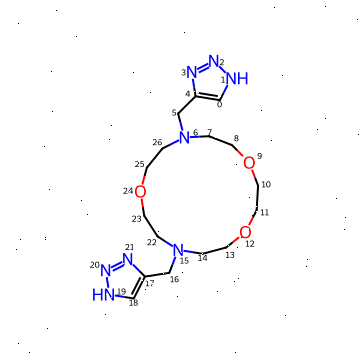 c1[nH]nnc1CN1CCOCCOCCN(Cc2c[nH]nn2)CCOCC1